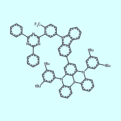 CC(C)(C)c1cc(N2c3ccccc3B3c4ccccc4N(c4cc(C(C)(C)C)cc(C(C)(C)C)c4)c4cc(-c5ccc6c(c5)c5ccccc5n6-c5ccc(C(F)(F)F)c(-c6nc(-c7ccccc7)nc(-c7ccccc7)n6)c5)cc2c43)cc(C(C)(C)C)c1